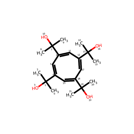 CC(C)(O)C1=CC(C(C)(C)O)=CC(C(C)(C)O)=CC(C(C)(C)O)=C1